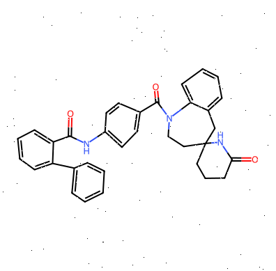 O=C1CCCC2(CCN(C(=O)c3ccc(NC(=O)c4ccccc4-c4ccccc4)cc3)c3ccccc3C2)N1